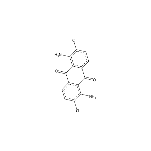 Nc1c(Cl)ccc2c1C(=O)c1ccc(Cl)c(N)c1C2=O